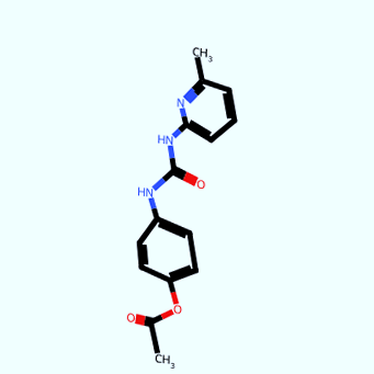 CC(=O)Oc1ccc(NC(=O)Nc2cccc(C)n2)cc1